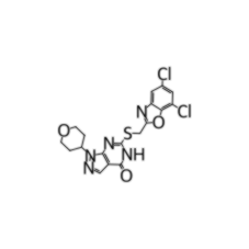 O=c1[nH]c(SCc2nc3cc(Cl)cc(Cl)c3o2)nc2c1cnn2C1CCOCC1